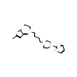 CC1=CC2=CN(CCCCN3CCN(c4ncccn4)CC3)C(=O)CSC2S1